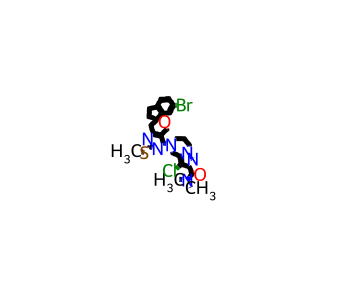 CSc1nc2c(c(N3CCCn4nc(C(=O)N(C)C)c(Cl)c4C3)n1)COC1(CCc3ccc(Br)cc31)C2